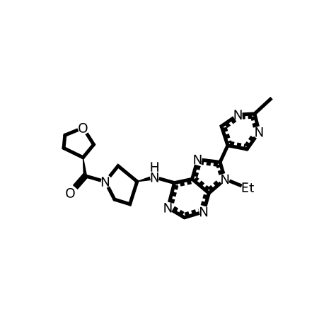 CCn1c(-c2cnc(C)nc2)nc2c(N[C@H]3CCN(C(=O)[C@H]4CCOC4)C3)ncnc21